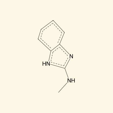 CNc1nc2ccccc2[nH]1